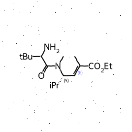 CCOC(=O)/C(C)=C/[C@H](C(C)C)N(C)C(=O)C(N)C(C)(C)C